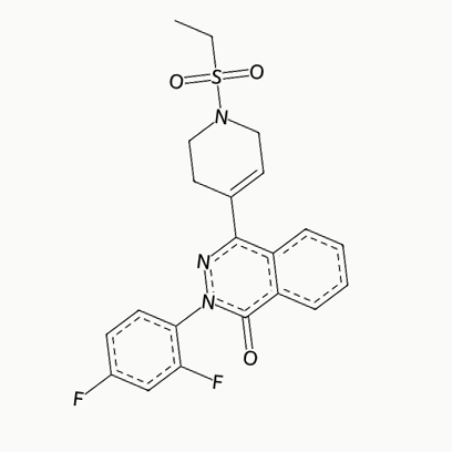 CCS(=O)(=O)N1CC=C(c2nn(-c3ccc(F)cc3F)c(=O)c3ccccc23)CC1